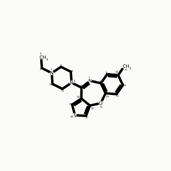 CCN1CCN(C2=Nc3cc(C)ccc3Oc3cscc32)CC1